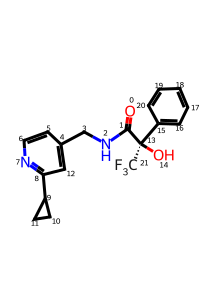 O=C(NCc1ccnc(C2CC2)c1)[C@](O)(c1ccccc1)C(F)(F)F